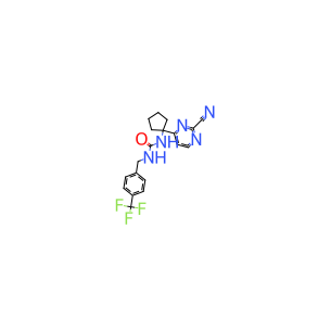 N#Cc1nccc(C2(NC(=O)NCc3ccc(C(F)(F)F)cc3)CCCC2)n1